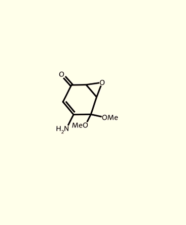 COC1(OC)C(N)=CC(=O)C2OC21